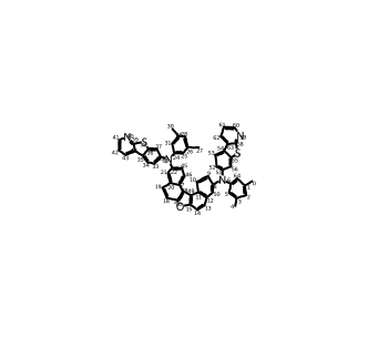 Cc1cc(C)cc(N(c2ccc3c(ccc4oc5ccc6cc(N(c7cc(C)cc(C)c7)c7ccc8c(c7)sc7ncccc78)ccc6c5c43)c2)c2ccc3c(c2)sc2ncccc23)c1